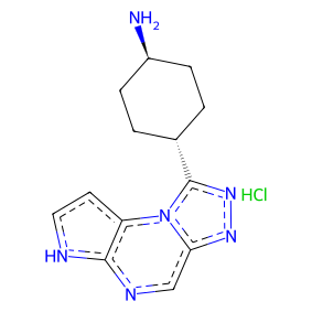 Cl.N[C@H]1CC[C@H](c2nnc3cnc4[nH]ccc4n32)CC1